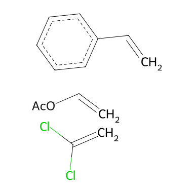 C=C(Cl)Cl.C=COC(C)=O.C=Cc1ccccc1